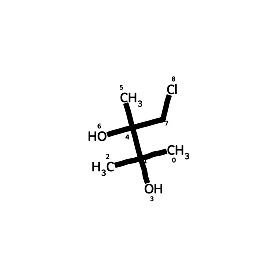 CC(C)(O)C(C)(O)CCl